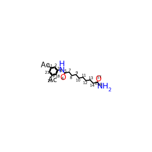 CC(=O)c1cc(NC(=O)CCCCCCCCC(N)=O)cc(C(C)=O)c1